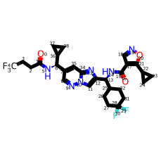 O=C(CCC(F)(F)F)N[C@@H](c1cnn2cc([C@@H](NC(=O)c3cnoc3C3CC3)C3CCC(F)(F)CC3)nc2c1)C1CC1